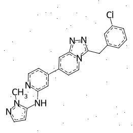 Cn1nccc1Nc1cc(-c2ccn3c(Cc4cccc(Cl)c4)nnc3c2)ccn1